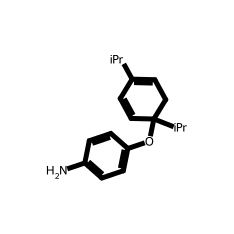 CC(C)C1=CCC(Oc2ccc(N)cc2)(C(C)C)C=C1